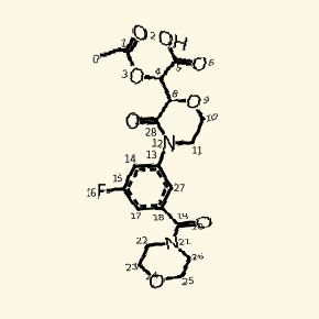 CC(=O)O[C@@H](C(=O)O)[C@H]1OCCN(c2cc(F)cc(C(=O)N3CCOCC3)c2)C1=O